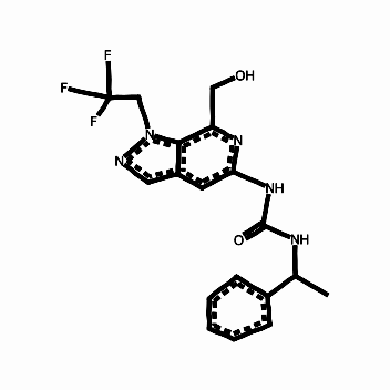 CC(NC(=O)Nc1cc2cnn(CC(F)(F)F)c2c(CO)n1)c1ccccc1